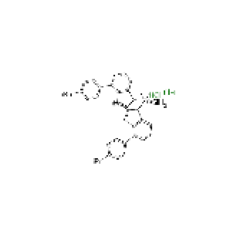 CCC(C)C1=Cc2c(-c3ccc(C(C)C)cc3)cccc2[CH]1[Zr]([CH3])([CH3])(=[SiH2])[CH]1C(C)=Cc2c(-c3ccc(C(C)CC)cc3)cccc21.Cl.Cl